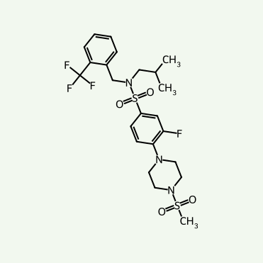 CC(C)CN(Cc1ccccc1C(F)(F)F)S(=O)(=O)c1ccc(N2CCN(S(C)(=O)=O)CC2)c(F)c1